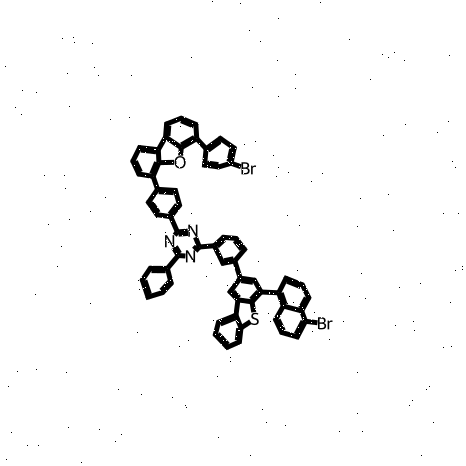 Brc1ccc(-c2cccc3c2oc2c(-c4ccc(-c5nc(-c6ccccc6)nc(-c6cccc(-c7cc(-c8cccc9c(Br)cccc89)c8sc9ccccc9c8c7)c6)n5)cc4)cccc23)cc1